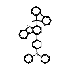 CC1(c2ccc(C3=CC=C(N(c4ccccc4)c4ccccc4)CC3)c3c2oc2ccccc23)c2ccccc2-c2ccccc21